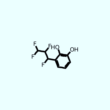 Oc1cccc(C(F)C(F)C(F)F)c1O